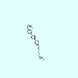 CCCCCCCC1CCC(c2ccc(C3=CCC(CC)CC3)cc2)CC1